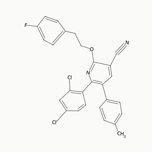 Cc1ccc(-c2cc(C#N)c(OCCc3ccc(F)cc3)nc2-c2ccc(Cl)cc2Cl)cc1